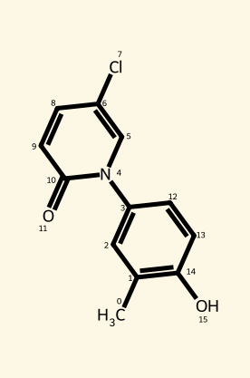 Cc1cc(-n2cc(Cl)ccc2=O)ccc1O